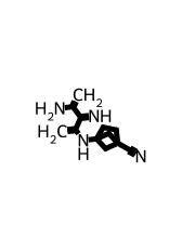 C=C(N)C(=N)C(=C)NC12CCC(C#N)(C1)C2